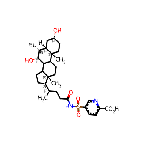 CC[C@H]1[C@@H](O)C2C3CC[C@H]([C@H](C)CCC(=O)NS(=O)(=O)c4ccc(C(=O)O)nc4)[C@@]3(C)CCC2[C@@]2(C)CC[C@@H](O)C[C@@H]12